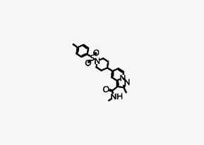 CNC(=O)c1c(C)nn2ccc(C3CCN(S(=O)(=O)c4ccc(C)cc4)CC3)cc12